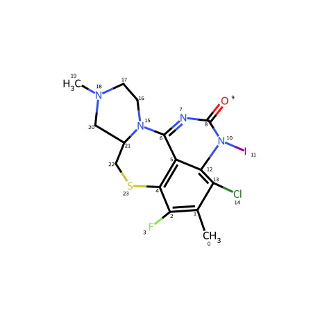 Cc1c(F)c2c3c(nc(=O)n(I)c3c1Cl)N1CCN(C)CC1CS2